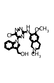 COc1cc2c(cc1Nc1nnc(Cl)c(-n3cc(CO)c4ccccc43)n1)CN(C)CC2